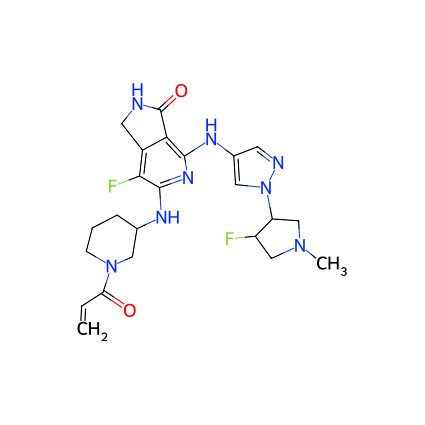 C=CC(=O)N1CCCC(Nc2nc(Nc3cnn(C4CN(C)CC4F)c3)c3c(c2F)CNC3=O)C1